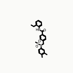 CCc1ccccc1NC(=O)c1ccc(CN(c2ccc(C)c(C)c2)S(C)(=O)=O)cc1